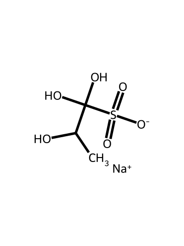 CC(O)C(O)(O)S(=O)(=O)[O-].[Na+]